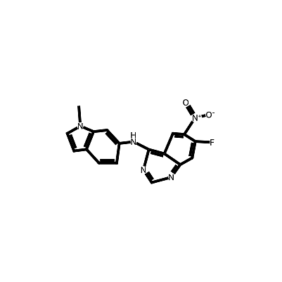 Cn1ccc2ccc(Nc3ncnc4cc(F)c([N+](=O)[O-])cc34)cc21